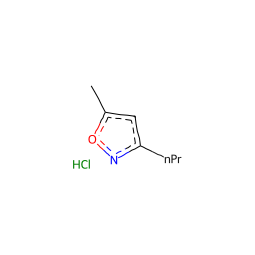 CCCc1cc(C)on1.Cl